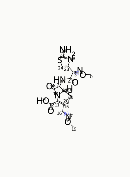 CO/N=C(\C(=O)NC1C(=O)N2C(C(=O)O)=C(/C=N/OC)CS[C@H]12)c1csc(N)n1